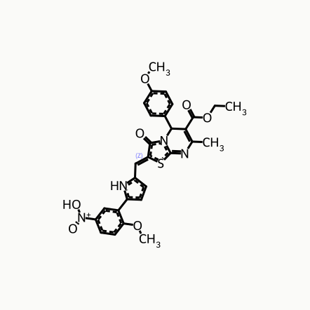 CCOC(=O)C1=C(C)N=c2s/c(=C\c3ccc(-c4cc([N+](=O)O)ccc4OC)[nH]3)c(=O)n2C1c1ccc(OC)cc1